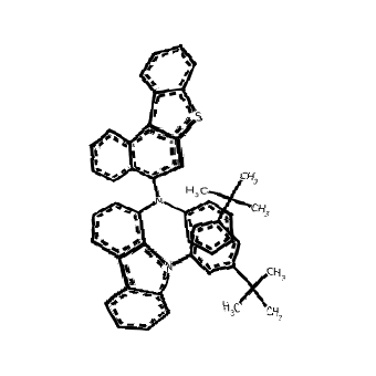 CC(C)(C)c1cc(-n2c3ccccc3c3cccc(N(c4ccccc4)c4cc5sc6ccccc6c5c5ccccc45)c32)cc(C(C)(C)C)c1